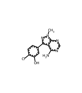 Cn1nc(-c2ccc(Cl)c(O)c2)c2c(N)ncnc21